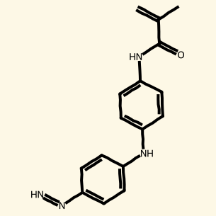 C=C(C)C(=O)Nc1ccc(Nc2ccc(N=N)cc2)cc1